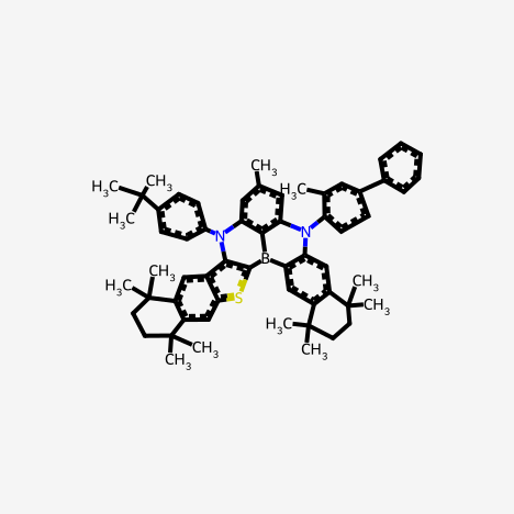 Cc1cc2c3c(c1)N(c1ccc(C(C)(C)C)cc1)c1c(sc4cc5c(cc14)C(C)(C)CCC5(C)C)B3c1cc3c(cc1N2c1ccc(-c2ccccc2)cc1C)C(C)(C)CCC3(C)C